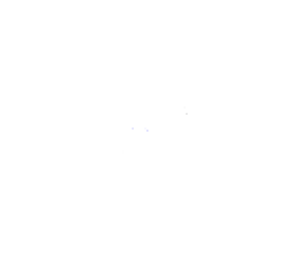 CCO/C(CC)=N/c1sccc1C#N